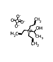 C=CC[N+](CC=C)(CC=C)C(C)O.[O-][Cl+3]([O-])([O-])[O-]